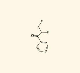 O=C(c1ccccc1)C(F)CF